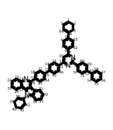 C1=CCCC(c2ccc(-c3cc(-c4ccc(-c5ccc(-c6nc7ccccc7c7c6c6ccccc6n7C6=CCCC=C6)cc5)cc4)nc(-c4ccc(-c5ccccc5)cc4)n3)cc2)=C1